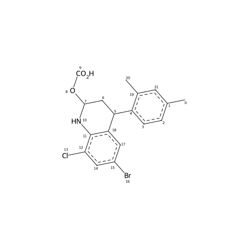 Cc1ccc(C2CC(OC(=O)O)Nc3c(Cl)cc(Br)cc32)c(C)c1